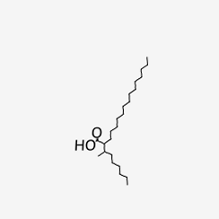 CCCCCCCCCCCCCCC(C(=O)O)C(C)CCCCCC